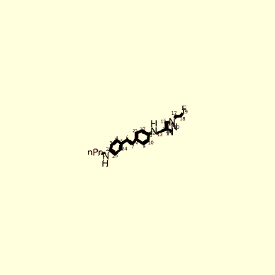 CCCNc1ccc(C=Cc2ccc(NCc3cn(CCF)nn3)cc2)cc1